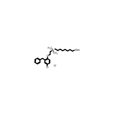 CCCCCCCCCCCCCCCCCC[N+](C)(C)CCOc1ccc(Cl)cc1Cc1ccccc1.[Cl-]